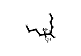 CCCCC(C)C(N)(O)CCCC